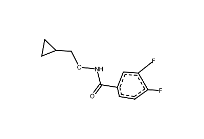 O=C(NOCC1CC1)c1ccc(F)c(F)c1